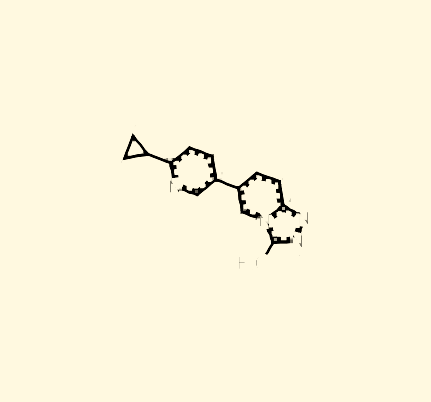 FC(F)(F)c1nnc2ccc(-c3ccc(C4CC4)nc3)cn12